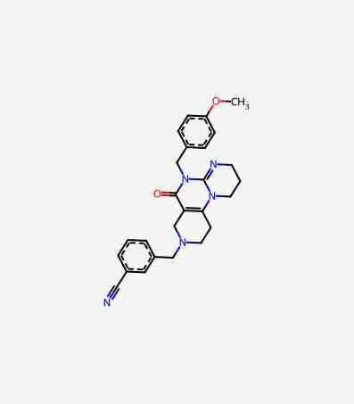 COc1ccc(CN2C(=O)C3=C(CCN(Cc4cccc(C#N)c4)C3)N3CCCN=C23)cc1